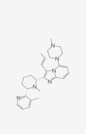 C/C=C/c1c([C@H]2CCC[C@@H](c3ncccc3C)N2C)nc2cccc(N3CCN(C)CC3)n12